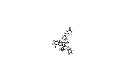 Cc1c(N2CCN(Cc3cccc(F)c3)CC2)c(=O)n(C[C@H](N)c2ccccc2)c(=O)n1Cc1c(F)cccc1F